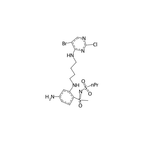 CCCS(=O)(=O)N=S(C)(=O)c1ccc(N)cc1NCCCCNc1nc(Cl)ncc1Br